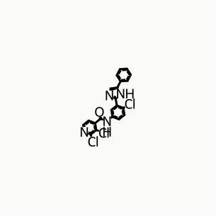 O=C(Nc1ccc(Cl)c(-c2ncc(-c3ccccc3)[nH]2)c1)c1ccnc(Cl)c1Cl